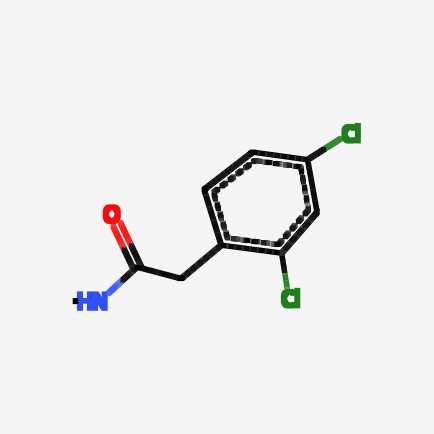 [NH]C(=O)Cc1ccc(Cl)cc1Cl